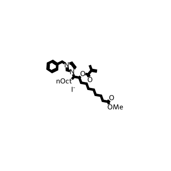 C=C(C)C(=O)OC(CCCCCCCC(=O)OC)C(CCCCCCCC)n1cc[n+](Cc2ccccc2)c1.[I-]